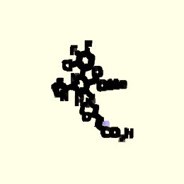 COC(=O)C1=C(CN2CCOC(/C=C/C(=O)O)C2)NC(c2nccs2)=NC1c1ccc(F)c(F)c1Cl